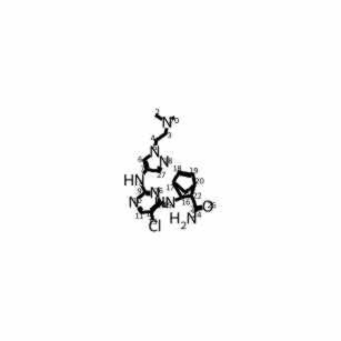 CN(C)CCn1cc(Nc2ncc(Cl)c(NC3C4C=CC(C4)C3C(N)=O)n2)cn1